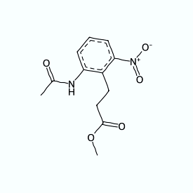 COC(=O)CCc1c(NC(C)=O)cccc1[N+](=O)[O-]